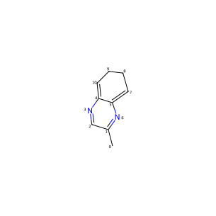 Cc1cnc2c(n1)=CCCC=2